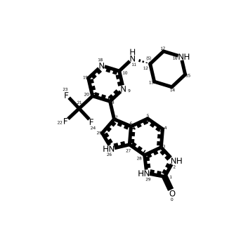 O=c1[nH]c2ccc3c(-c4nc(N[C@H]5CCCNC5)ncc4C(F)(F)F)c[nH]c3c2[nH]1